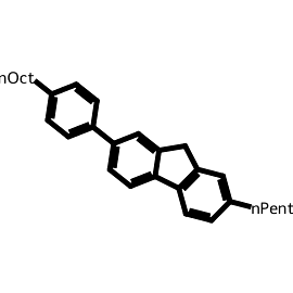 CCCCCCCCc1ccc(-c2ccc3c(c2)Cc2cc(CCCCC)ccc2-3)cc1